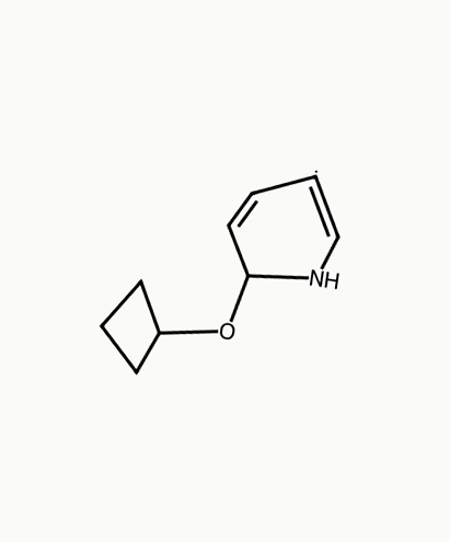 [C]1=CNC(OC2CCC2)C=C1